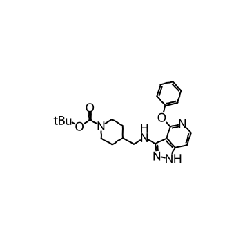 CC(C)(C)OC(=O)N1CCC(CNc2n[nH]c3ccnc(Oc4ccccc4)c23)CC1